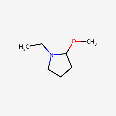 CCN1CCCC1OC